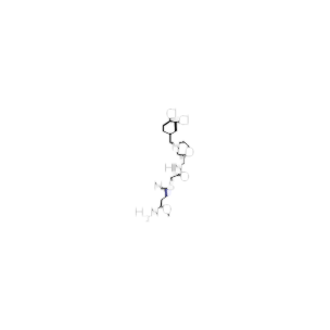 C=N/C(=C\CC(N)OC)SCC(=O)NC[C@H]1CN(CC2C=C(Cl)C(Cl)=CC2)CCO1